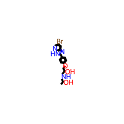 CC(O)CNCC(O)COc1ccc(-c2nc3cc(Br)cnc3[nH]2)cc1